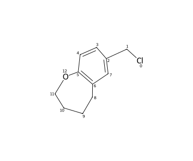 ClCc1ccc2c(c1)CCCCO2